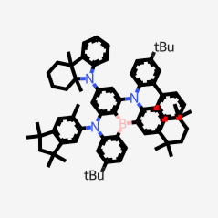 Cc1cc2c(cc1N1c3cc(C(C)(C)C)ccc3B3c4cc5c(cc4N(c4ccc(C(C)(C)C)cc4-c4ccccc4)c4cc(N6c7ccccc7C7(C)CCCCC67C)cc1c43)C(C)(C)CCC5(C)C)C(C)(C)CC2(C)C